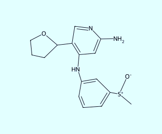 C[S+]([O-])c1cccc(Nc2cc(N)ncc2C2CCCO2)c1